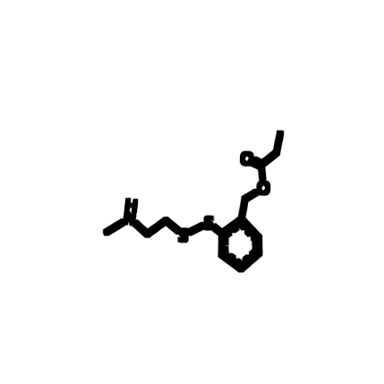 CCC(=O)OCc1ccccc1SSCCNC